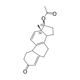 CC(=O)O[C@H]1CCC2C3=C(C=C[C@@]21C)C1CCC(=O)C=C1CC3